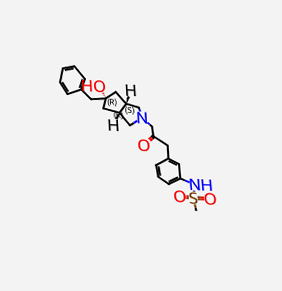 CS(=O)(=O)Nc1cccc(CC(=O)CN2C[C@@H]3C[C@@](O)(Cc4ccccc4)C[C@@H]3C2)c1